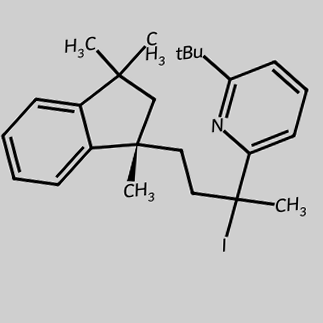 CC(C)(C)c1cccc(C(C)(I)CC[C@@]2(C)CC(C)(C)c3ccccc32)n1